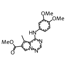 COC(=O)c1cn2ncnc(Nc3ccc(OC)c(OC)c3)c2c1C